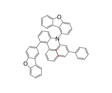 c1ccc(-c2cccc(N(c3cccc(-c4ccc5oc6ccccc6c5c4)c3-c3ccccc3)c3cccc4oc5ccccc5c34)c2)cc1